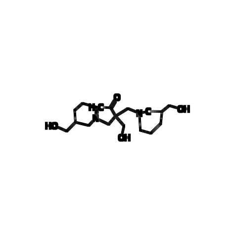 CC(=O)C(CO)(CN1CCCC(CO)C1)CN1CCCC(CO)C1